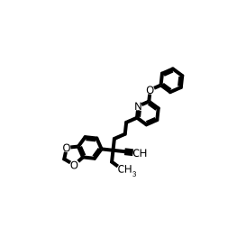 C#CC(CC)(CCCc1cccc(Oc2ccccc2)n1)c1ccc2c(c1)OCO2